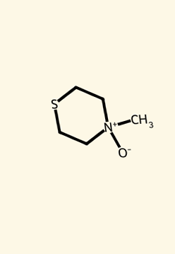 C[N+]1([O-])CCSCC1